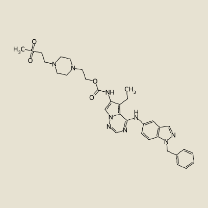 CCc1c(NC(=O)OCCN2CCN(CCS(C)(=O)=O)CC2)cn2ncnc(Nc3ccc4c(cnn4Cc4ccccc4)c3)c12